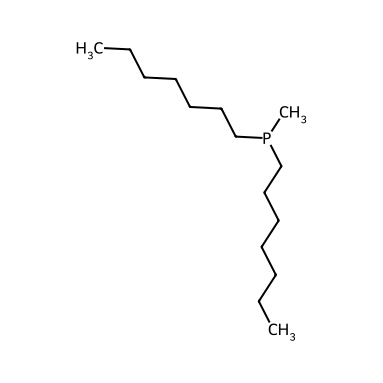 CCCCCCCP(C)CCCCCCC